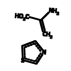 C=C(N)C(=O)O.c1cscn1